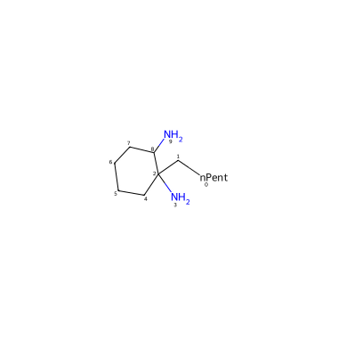 CCCCCCC1(N)CCCCC1N